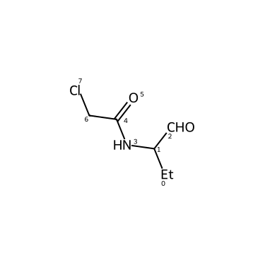 CCC(C=O)NC(=O)CCl